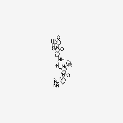 CCn1cnnc1-c1cccc(N2Cc3c(cc(N4CCC[C@H]4C)nc3CN(C)CCNc3ccc4c(c3)C(=O)N(C3CCC(=O)NC3=O)C4=O)C2=O)n1